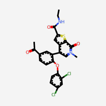 CCNC(=O)c1cc2c(-c3cc(C(C)=O)ccc3Oc3ccc(Cl)cc3Cl)cn(C)c(=O)c2s1